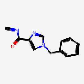 C=NC(=O)c1cn(Cc2ccccc2)cn1